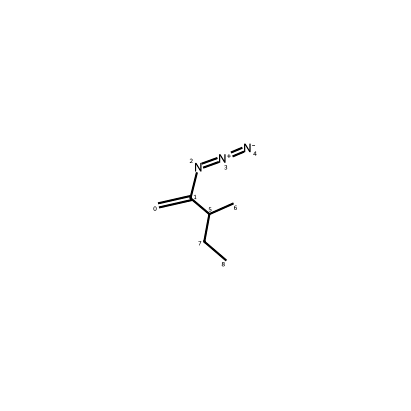 C=C(N=[N+]=[N-])C(C)CC